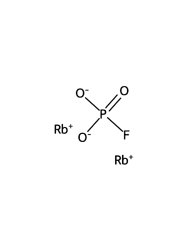 O=P([O-])([O-])F.[Rb+].[Rb+]